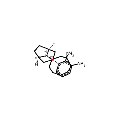 Nc1cccc([C@@H]2C[C@H]3CC[C@@H](C2)N3C2CCCCCCC2)c1N